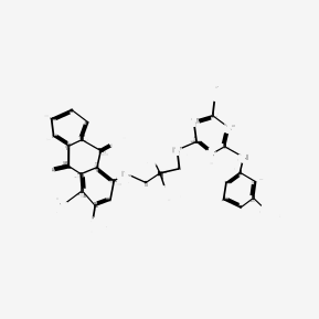 Cc1cccc(Nc2nc(F)nc(NCC(C)(C)CNc3cc(S(=O)(=O)O)c(N)c4c3C(=O)c3ccccc3C4=O)n2)c1